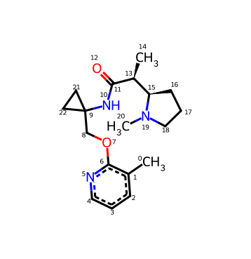 Cc1cccnc1OCC1(NC(=O)[C@@H](C)[C@H]2CCCN2C)CC1